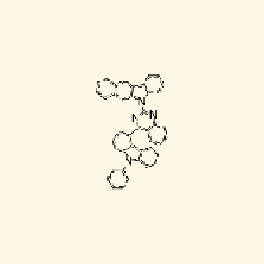 c1ccc(-n2c3ccccc3c3c(-c4nc(-n5c6ccccc6c6cc7ccccc7cc65)nc5ccccc45)cccc32)cc1